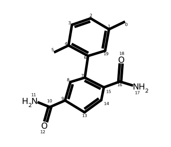 Cc1ccc(C)c(-c2cc(C(N)=O)ccc2C(N)=O)c1